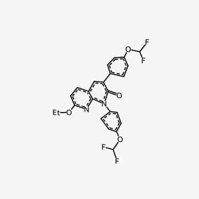 CCOc1ccc2cc(-c3ccc(OC(F)F)cc3)c(=O)n(-c3ccc(OC(F)F)cc3)c2n1